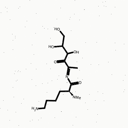 CN[C@@H](CCCCN)C(=O)/N=C(\C)C(=O)C(O)C(O)CO